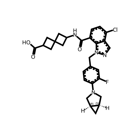 O=C(NC1CC2(C1)CC(C(=O)O)C2)c1ccc(Cl)c2cnn(Cc3ccc(N4C[C@H]5C[C@H]5C4)c(F)c3)c12